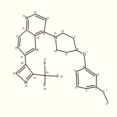 CSc1cccc(OC2CCN(c3ccnc4ccc(C5=CN=C5C(F)(F)F)cc34)CC2)c1